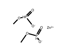 CO[PH](=O)[O-].CO[PH](=O)[O-].[Zn+2]